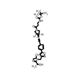 CC1CN=C([C@H](C)O)N1Cc1cc(-c2ccc(C#C[C@@H]3[C@H]4CN(C(=O)CCNC(=O)OC(C)(C)C)C[C@@H]34)cc2)on1